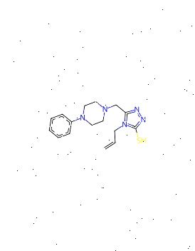 C=CCn1c(S)nnc1CN1CCN(c2ccccc2)CC1